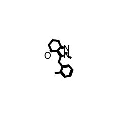 Cc1ccccc1Cc1c2c(nn1C)CCCC2=O